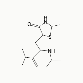 C=C(C(C)C)C(CC1SC(C)NC1=O)NC(C)C